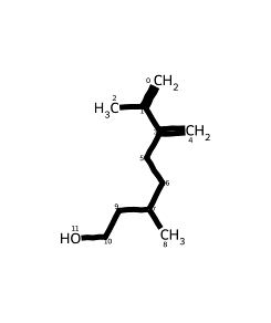 C=C(C)C(=C)CCC(C)CCO